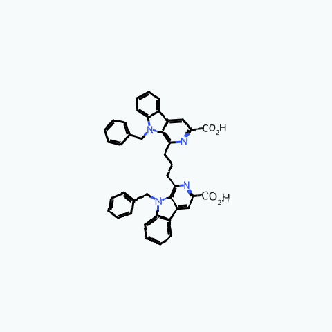 O=C(O)c1cc2c3ccccc3n(Cc3ccccc3)c2c(CCCc2nc(C(=O)O)cc3c4ccccc4n(Cc4ccccc4)c23)n1